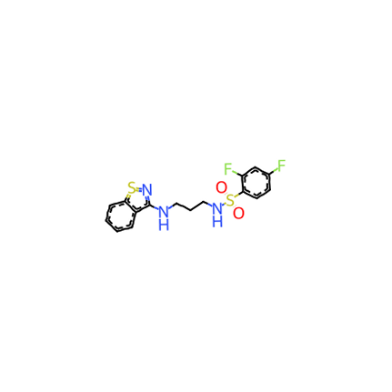 O=S(=O)(NCCCNc1nsc2ccccc12)c1ccc(F)cc1F